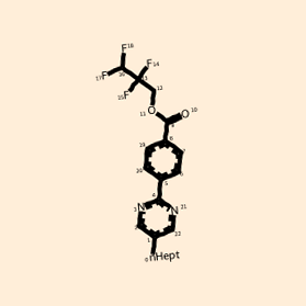 CCCCCCCc1cnc(-c2ccc(C(=O)OCC(F)(F)C(F)F)cc2)nc1